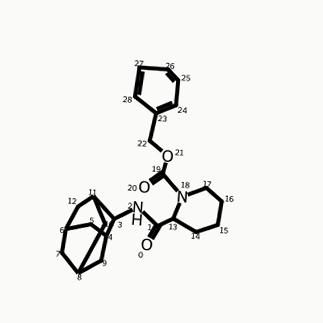 O=C(NC1C2CC3CC(C2)CC1C3)C1CCCCN1C(=O)OCc1ccccc1